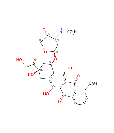 COc1cccc2c1C(=O)c1c(O)c3c(c(O)c1C2=O)C[C@](O)(C(=O)CO)C[C@H]3O[C@@H]1C[C@@H](NC(=O)O)[C@@H](O)[C@@H](C)O1